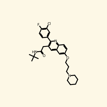 CC(C)(C)NC(=O)Cc1cc2cc(OCCCN3CCCCC3)ccc2nc1-c1ccc(F)c(Cl)c1